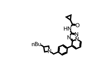 CCCCC1CN(Cc2ccc(-c3cccn4nc(NC(=O)C5CC5)nc34)cc2)C1